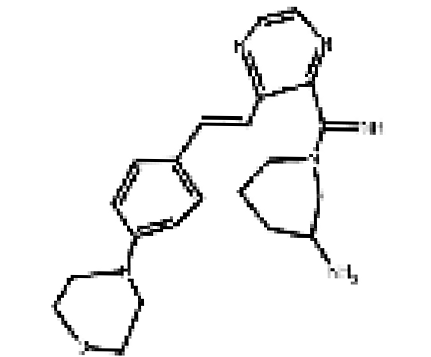 N=C(c1nccnc1/C=C/c1ccc(N2CCOCC2)cc1)N1CCCC(N)C1